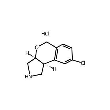 Cl.Clc1ccc2c(c1)[C@H]1CNC[C@H]1OC2